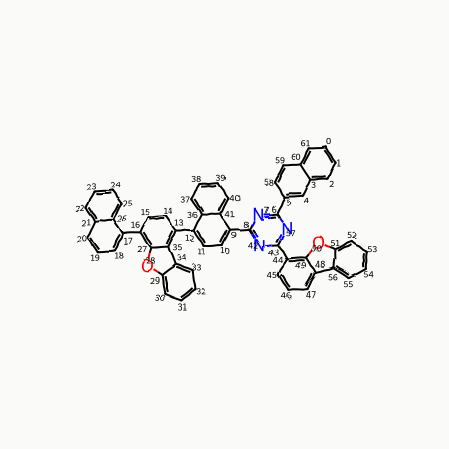 c1ccc2cc(-c3nc(-c4ccc(-c5ccc(-c6cccc7ccccc67)c6oc7ccccc7c56)c5ccccc45)nc(-c4cccc5c4oc4ccccc45)n3)ccc2c1